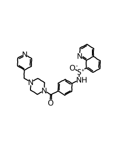 O=C(c1ccc(N[S+]([O-])c2cccc3cccnc23)cc1)N1CCN(Cc2ccncc2)CC1